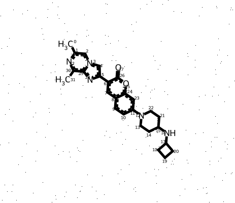 Cc1cn2cc(-c3cc4ccc(N5CCC(NC6CCC6)CC5)cc4oc3=O)nc2c(C)n1